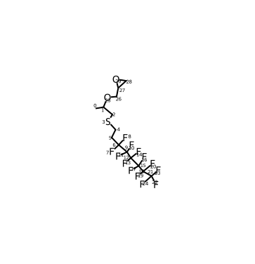 CC(CSCCC(F)(F)C(F)(F)C(F)(F)C(F)(F)C(F)(F)C(F)(F)F)OCC1CO1